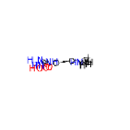 C[C@@H]1[C@@H](NCc2ccc(C#Cc3ccc(C(=O)N[C@@H](CN)C(=O)NO)cc3)cc2)CC2C[C@@H]1C2(C)C